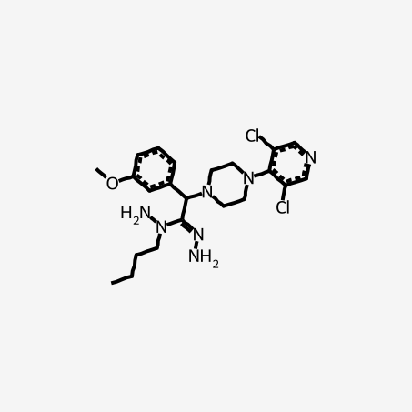 CCCCN(N)/C(=N\N)C(c1cccc(OC)c1)N1CCN(c2c(Cl)cncc2Cl)CC1